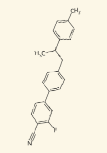 Cc1ccc(C(C)Cc2ccc(-c3ccc(C#N)c(F)c3)cc2)cc1